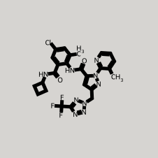 Cc1cccnc1-n1nc(Cn2nnc(C(F)(F)F)n2)cc1C(=O)Nc1c(C)cc(Cl)cc1C(=O)NC1CCC1